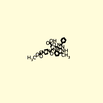 CCOC(=O)ON1CCN(C(=O)[C@H](CCC(=O)O)NC(=O)c2cc(N[C@H](C)c3ccccc3)nc(-c3ccccc3)n2)CC1